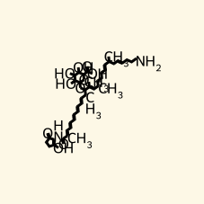 C\C(=C/C=C/C=C/C=C/C=C/C(C)C(OC1OC(C(=O)O)C(O)C(O)C1O)/C(C)=C/C(C)CCC/C=C/C(C)C/C=C/CCCN)C(=O)NC1=C(O)CCC1=O